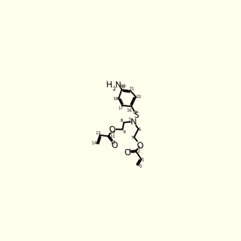 C=CC(=O)OCCN(CCOC(=O)C=C)Sc1ccc(N)cc1